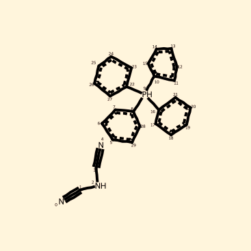 N#CNC#N.c1ccc([PH](c2ccccc2)(c2ccccc2)c2ccccc2)cc1